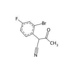 CC(=O)C(C#N)c1ccc(F)cc1Br